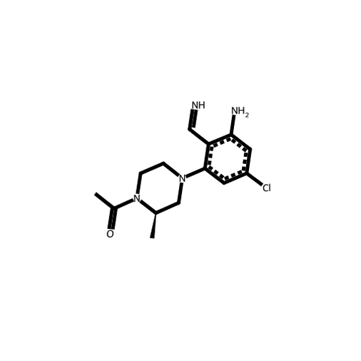 CC(=O)N1CCN(c2cc(Cl)cc(N)c2C=N)C[C@H]1C